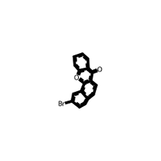 O=c1c2ccccc2oc2c1ccc1ccc(Br)cc12